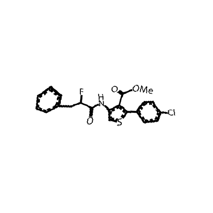 COC(=O)c1c(NC(=O)C(F)Cc2ccccc2)csc1-c1ccc(Cl)cc1